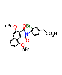 CCCOc1cc2cccc(OCCC)c2c2c1C(=O)N(c1ccc(CC(=O)O)cc1Br)C2=O